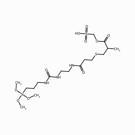 CO[Si](CCCNC(=O)NCCNC(=O)CCSCC(C)C(=O)OCS(=O)(=O)O)(OC)OC